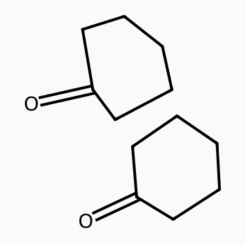 O=C1CCCCC1.O=C1CCCCC1